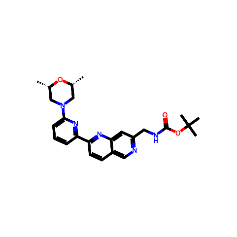 C[C@@H]1CN(c2cccc(-c3ccc4cnc(CNC(=O)OC(C)(C)C)cc4n3)n2)C[C@H](C)O1